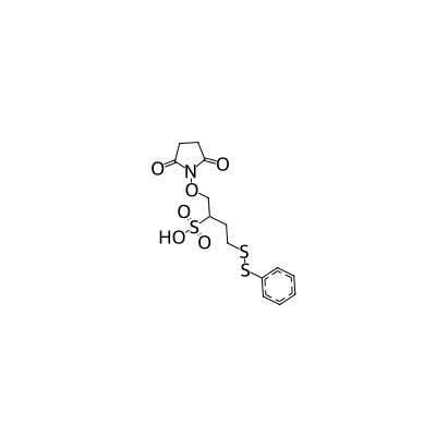 O=C1CCC(=O)N1OCC(CCSSc1ccccc1)S(=O)(=O)O